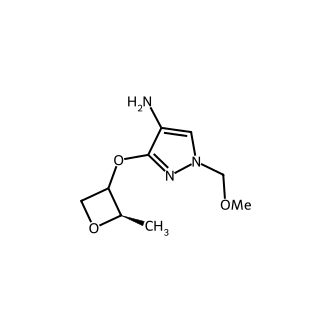 COCn1cc(N)c(OC2CO[C@@H]2C)n1